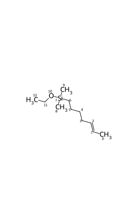 CC=CCCCC[Si](C)(C)OCC